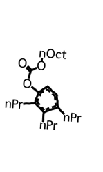 CCCCCCCCOC(=O)Oc1ccc(CCC)c(CCC)c1CCC